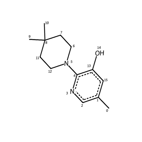 Cc1cnc(N2CCC(C)(C)CC2)c(O)c1